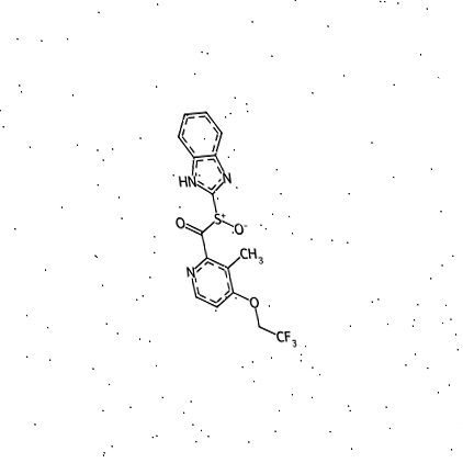 Cc1c(OCC(F)(F)F)ccnc1C(=O)[S+]([O-])c1nc2ccccc2[nH]1